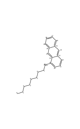 CCCCCCCC[N]c1cccc2cc3ccccc3cc12